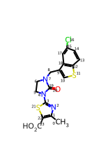 Cc1nc(N2CCN(Cc3csc4ccc(Cl)cc34)C2=O)sc1C(=O)O